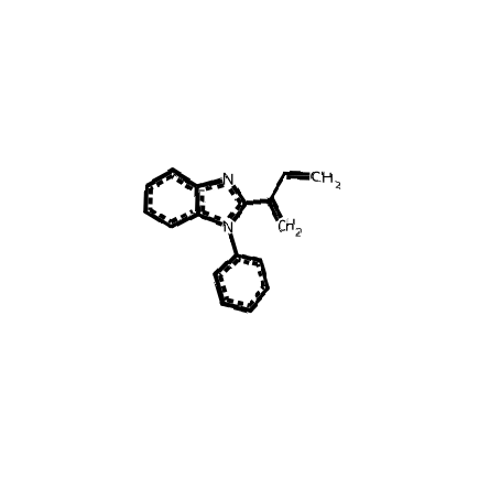 C=CC(=C)c1nc2ccccc2n1-c1ccccc1